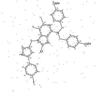 CCc1nc2c(N(Cc3ccc(OC)cc3)Cc3ccc(OC)cc3)nc(C)c(C)c2n1Cc1cc(-c2ccc(F)cc2)no1